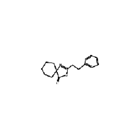 O=C1OC(CCc2ccccc2)=NC12CCCCC2